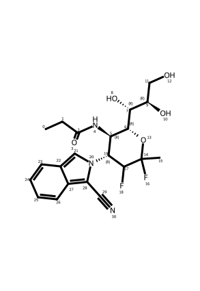 CCC(=O)N[C@H]1[C@H]([C@H](O)[C@H](O)CO)OC(C)(F)C(F)[C@@H]1n1cc2ccccc2c1C#N